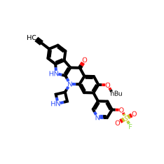 C#Cc1ccc2c(c1)[nH]c1c2c(=O)c2cc(OCCCC)c(-c3cncc(OS(=O)(=O)F)c3)cc2n1C1CNC1